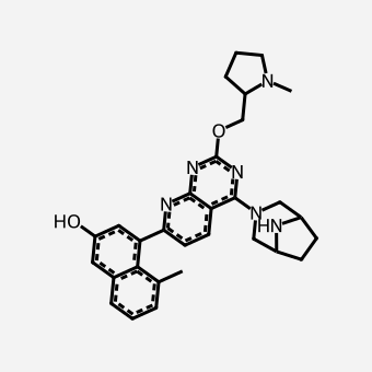 Cc1cccc2cc(O)cc(-c3ccc4c(N5CC6CCC(C5)N6)nc(OCC5CCCN5C)nc4n3)c12